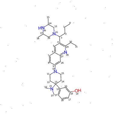 CCCC(c1cc2ccc(N3CCC(c4cccc(O)c4)(N(C)C)CC3)cc2nc1CC)N1CC(C)NC(C)C1